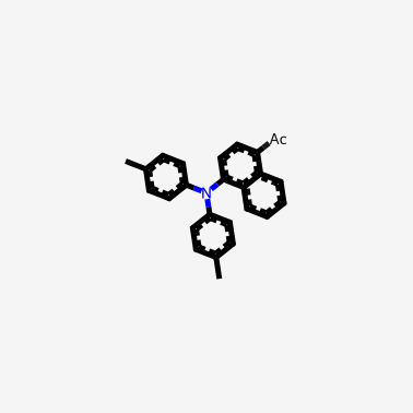 CC(=O)c1ccc(N(c2ccc(C)cc2)c2ccc(C)cc2)c2ccccc12